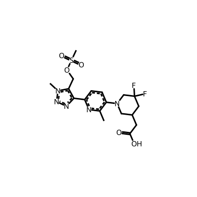 Cc1nc(-c2nnn(C)c2COS(C)(=O)=O)ccc1N1CC(CC(=O)O)CC(F)(F)C1